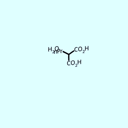 CCCC(C(=O)O)C(=O)O.O